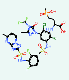 CP(=O)(O)CCC(N)C(=O)O.Cc1ccn2nc(S(=O)(=O)Nc3c(F)cccc3F)nc2n1.Cc1nn(-c2cc(NS(C)(=O)=O)c(Cl)cc2Cl)c(=O)n1C(F)F